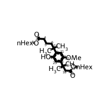 CCCCCCOC(=O)CCCC(C)(C)c1cc(OC)c(C(C)(C)CC(=O)OCCCCCC)cc1O